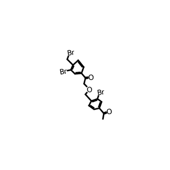 CC(=O)c1ccc(COCC(=O)c2ccc(CBr)c(Br)c2)c(Br)c1